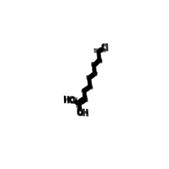 OC(O)=CCCCCCCCCl